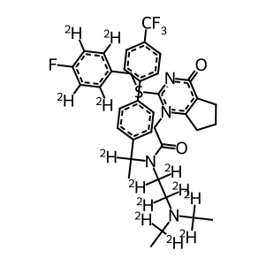 [2H]c1c([2H])c(CSc2nc(=O)c3c(n2CC(=O)N(C([2H])(C)c2ccc(-c4ccc(C(F)(F)F)cc4)cc2)C([2H])([2H])C([2H])([2H])N(C([2H])([2H])C)C([2H])([2H])C)CCC3)c([2H])c([2H])c1F